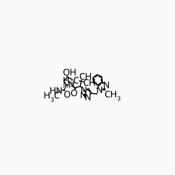 CNC(=O)[C@H]1CC(O)CN1C(=O)C(n1cc(Cn2c(C)nc3ccccc32)nn1)C(C)(C)C